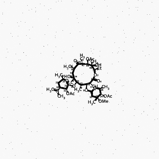 CC[C@H]1OC(=O)[C@H](C)[C@@H](OC2C[C@@](C)(OC)[C@@H](OC(C)=O)[C@H](C)O2)[C@H](C)[C@@H](O[C@@H]2O[C@H](C)C[C@H](N(C)C)[C@H]2OC(C)=O)[C@](C)(O)C[C@@H](C)C(=O)[C@H](C)[C@@H](OC(C)=O)[C@]1(C)O